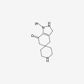 CC(C)N1NCC2=C1C(=O)CC1(CCNCC1)C2